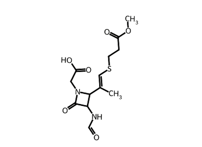 COC(=O)CCSC=C(C)C1C(NC=O)C(=O)N1CC(=O)O